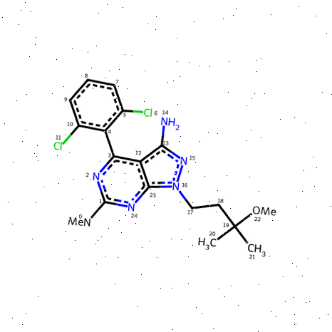 CNc1nc(-c2c(Cl)cccc2Cl)c2c(N)nn(CCC(C)(C)OC)c2n1